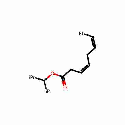 CC/C=C\C/C=C\CC(=O)OC(C(C)C)C(C)C